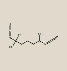 O=C=NC(O)CCCC(O)(Cl)N=C=O